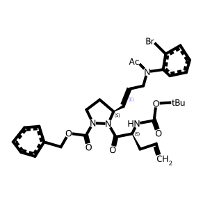 C=CC[C@H](NC(=O)OC(C)(C)C)C(=O)N1[C@H](/C=C/CN(C(C)=O)c2ccccc2Br)CCN1C(=O)OCc1ccccc1